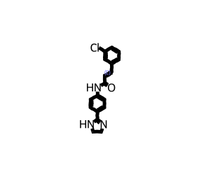 O=C(/C=C/c1cccc(Cl)c1)Nc1ccc(C2=NCCN2)cc1